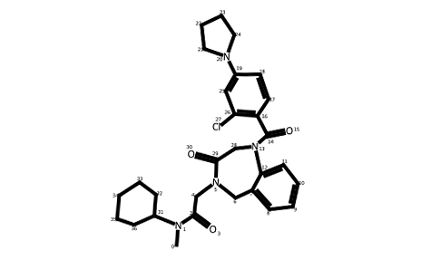 CN(C(=O)CN1Cc2ccccc2N(C(=O)c2ccc(N3CCCC3)cc2Cl)CC1=O)C1CCCCC1